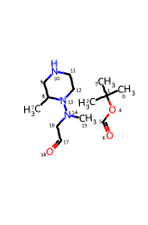 CC(C)(C)OC=O.CC1CNCCN1N(C)CC=O